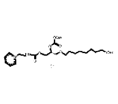 CCCCCCCCCCCCCCCCCCOC[C@H](COC(=O)NCC[n+]1ccccc1)OC(=O)OC.[Cl-]